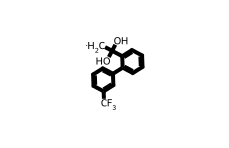 [CH2]C(O)(O)c1ccccc1-c1cccc(C(F)(F)F)c1